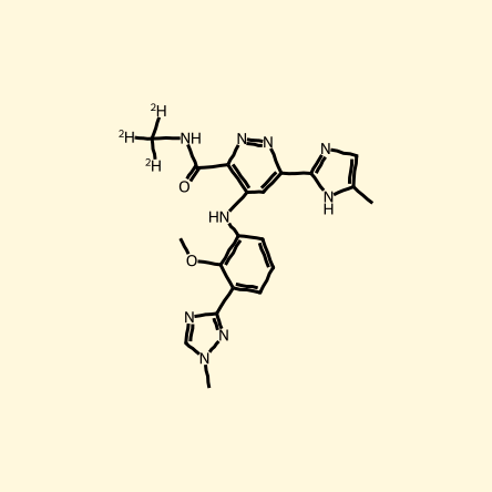 [2H]C([2H])([2H])NC(=O)c1nnc(-c2ncc(C)[nH]2)cc1Nc1cccc(-c2ncn(C)n2)c1OC